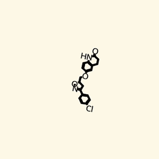 O=C1CCc2cc(OCC3CC(c4ccc(Cl)cc4)=NO3)ccc2N1